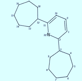 C1=CC(C2CCCCCC2)[N]C(C2CCCCCC2)=C1